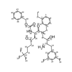 CCc1cccc(CN(C[C@@H](O)[C@@H](N)Cc2cc(F)cc(F)c2)C(=O)[C@@H](C[S+]([O-])CCCC(F)(F)F)NC(=O)OCc2ccccc2)c1